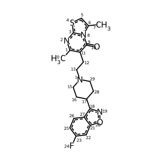 Cc1nc2scc(C)n2c(=O)c1CCN1CCC(c2noc3cc(F)ccc23)CC1